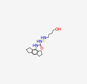 O=C(NSNCCCCO)Nc1c2c(cc3c1CCC3)CCC2